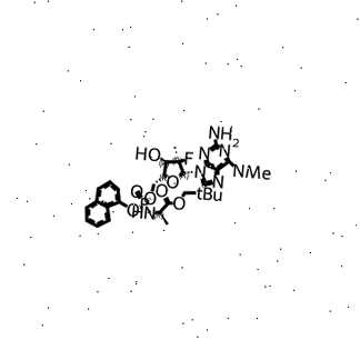 CNc1nc(N)nc2c1ncn2[C@@H]1O[C@H](COP(=O)(N[C@H](C)C(=O)OCC(C)(C)C)Oc2cccc3ccccc23)[C@@H](O)[C@@]1(C)F